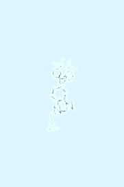 CC1(C)OB(c2ccc3c(c2)ncn3CC2CC2)OC1(C)C